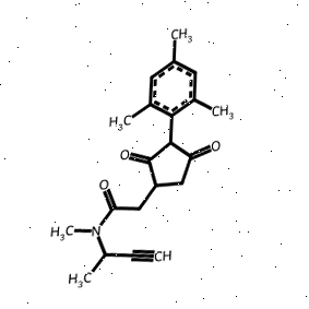 C#CC(C)N(C)C(=O)CC1CC(=O)C(c2c(C)cc(C)cc2C)C1=O